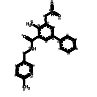 Cc1ccc(CNC(=O)c2cc(-c3ccccc3)cc(C[SH](=O)=O)c2C)cn1